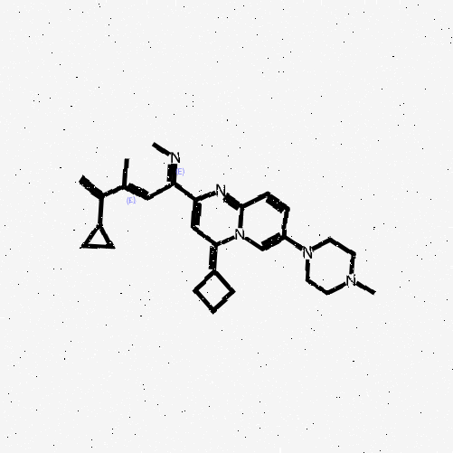 C=C(/C(C)=C/C(=N\C)C1=CC(=C2CCC2)N2C=C(N3CCN(C)CC3)C=CC2=N1)C1CC1